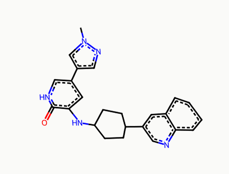 Cn1cc(-c2c[nH]c(=O)c(NC3CCC(c4cnc5ccccc5c4)CC3)c2)cn1